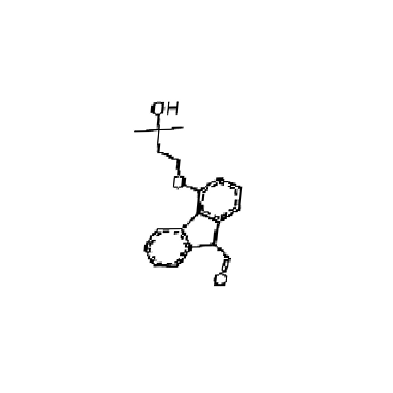 CC(C)(O)CCOc1cccc2c1-c1ccccc1C2C=O